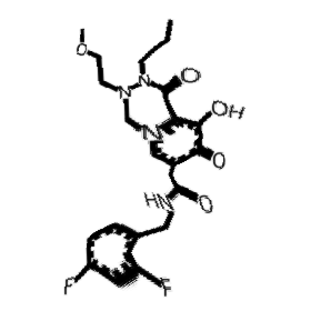 CCCN1C(=O)c2c(O)c(=O)c(C(=O)NCc3ccc(F)cc3F)cn2CN1CCOC